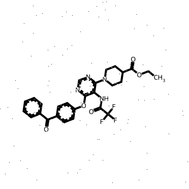 CCOC(=O)C1CCN(c2ncnc(Oc3ccc(C(=O)c4ccccc4)cc3)c2NC(=O)C(F)(F)F)CC1